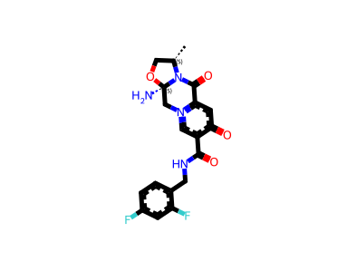 C[C@H]1CO[C@]2(N)Cn3cc(C(=O)NCc4ccc(F)cc4F)c(=O)cc3C(=O)N12